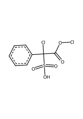 O=C(OCl)C(Cl)(c1ccccc1)S(=O)(=O)O